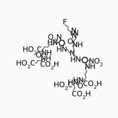 O=C(O)CCC(NC(=O)N[C@@H](CCCCNc1cc(NCCN(CCNC(=O)Cn2cc(CCCF)nn2)CCNc2ccc([N+](=O)[O-])c(NCCCC[C@H](NC(=O)NC(CCC(=O)O)C(=O)O)C(=O)O)c2)ccc1[N+](=O)[O-])C(=O)O)C(=O)O